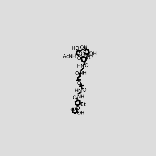 CC[C@H]1C[C@@H](C(=O)NCCNC(=O)CCC(C)(C)OCC(C)(C)C(=O)NCCNC(=O)[C@H]2CC[C@H](O[C@@H]3O[C@@H](C)CC[C@@H]3O)[C@@H](CC)C2)C[C@@H](O[C@@H]2O[C@H](CO)[C@H](O)C[C@H]2NC(C)=O)[C@@H]1O[C@@H]1O[C@@H](C)C[C@@H](O)[C@@H]1O